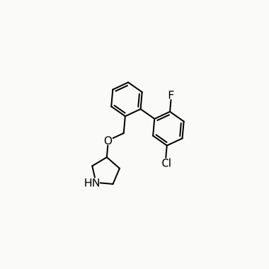 Fc1ccc(Cl)cc1-c1ccccc1COC1CCNC1